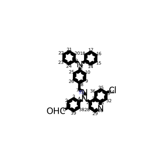 O=Cc1ccc(N(/N=C/c2ccc(N(c3ccccc3)c3ccccc3)cc2)c2ccnc3cc(Cl)ccc23)cc1